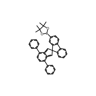 CC1(C)OB(c2ccc3c(c2)C2(C=c4c(-c5ccccc5)ccc(-c5ccccc5)c4=C2)c2ccccc2-3)OC1(C)C